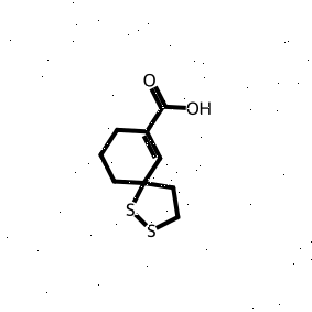 O=C(O)C1=CC2(CCC1)CCSS2